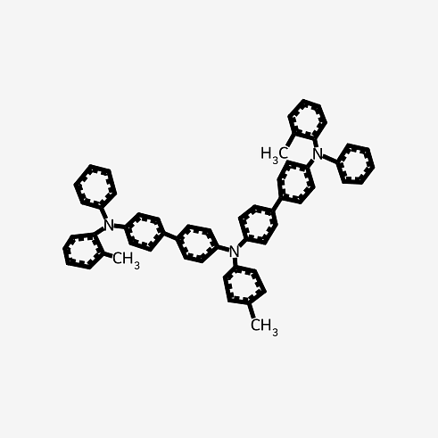 Cc1ccc(N(c2ccc(-c3ccc(N(c4ccccc4)c4ccccc4C)cc3)cc2)c2ccc(-c3ccc(N(c4ccccc4)c4ccccc4C)cc3)cc2)cc1